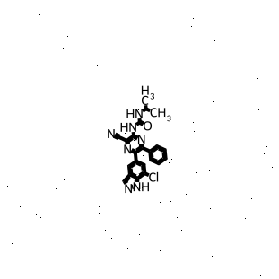 CC(C)NC(=O)Nc1nc(-c2ccccc2)c(-c2cc(Cl)c3[nH]ncc3c2)nc1C#N